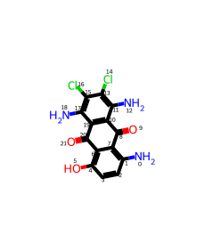 Nc1ccc(O)c2c1C(=O)c1c(N)c(Cl)c(Cl)c(N)c1C2=O